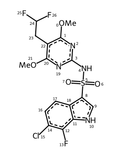 COc1nc(NS(=O)(=O)c2c[nH]c3c(F)c(Cl)ccc23)nc(OC)c1CC(F)F